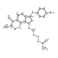 CC(=O)CCCOCc1cn(Cc2ccc(F)cc2)c2cnc3c(c12)CCN(O)C3=O